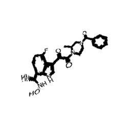 CC1CN(C(=O)c2ccccc2)CCN1C(=O)C(=O)c1c[nH]c2c(C(=N)NO)ccc(F)c12